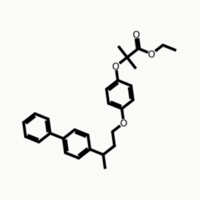 CCOC(=O)C(C)(C)Oc1ccc(OCCC(C)c2ccc(-c3ccccc3)cc2)cc1